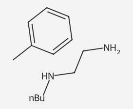 CCCCNCCN.Cc1ccccc1